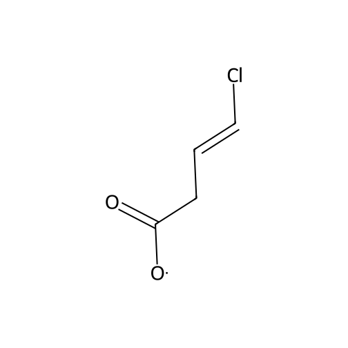 [O]C(=O)CC=CCl